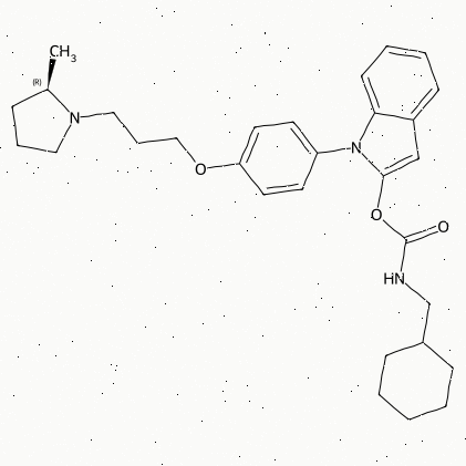 C[C@@H]1CCCN1CCCOc1ccc(-n2c(OC(=O)NCC3CCCCC3)cc3ccccc32)cc1